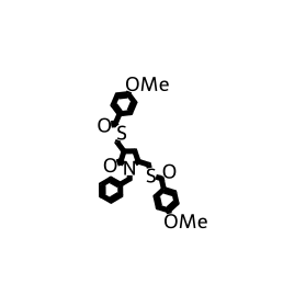 COc1ccc(C(=O)SCC2CC(CSC(=O)c3ccc(OC)cc3)N(Cc3ccccc3)C2=O)cc1